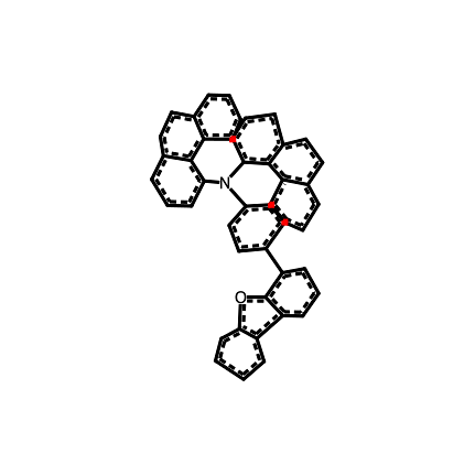 c1ccc2c(c1)ccc1cccc(N(c3ccc(-c4cccc5c4oc4ccccc45)cc3)c3cccc4ccc5ccccc5c34)c12